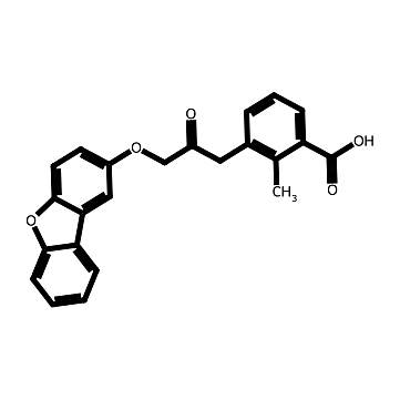 Cc1c(CC(=O)COc2ccc3oc4ccccc4c3c2)cccc1C(=O)O